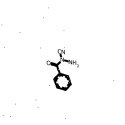 N#CN(N)C(=O)c1ccccc1